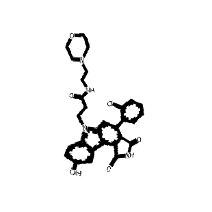 O=C(CCn1c2ccc(O)cc2c2c3c(c(-c4ccccc4Cl)cc21)C(=O)NC3=O)NCCN1CCOCC1